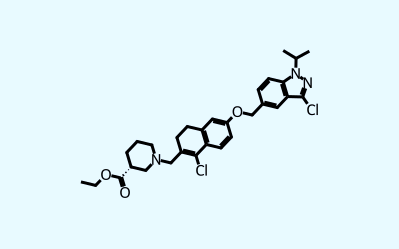 CCOC(=O)[C@@H]1CCCN(CC2=C(Cl)c3ccc(OCc4ccc5c(c4)c(Cl)nn5C(C)C)cc3CC2)C1